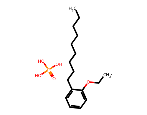 O=P(O)(O)O.[CH2]COc1ccccc1CCCCCCCCC